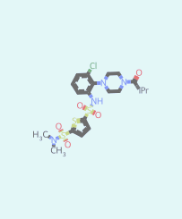 CC(C)C(=O)N1CCN(c2c(Cl)cccc2NS(=O)(=O)c2ccc(S(=O)(=O)N(C)C)s2)CC1